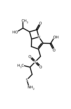 CC(O)C1C(=O)N2C(C(=O)O)=C(CS(=O)(=O)C(C)CSN)CC12